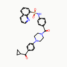 O=C(c1ccc(N2CCN(C(=O)c3ccc(NS(=O)(=O)c4cccc5cccnc45)cc3)CC2)cc1)C1CC1